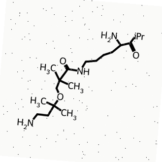 CC(C)C(=O)C(N)CCCCNC(=O)C(C)(C)COC(C)(C)CCN